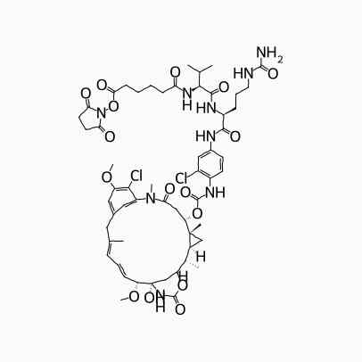 COc1cc2cc(c1Cl)N(C)C(=O)C[C@H](OC(=O)Nc1ccc(NC(=O)[C@H](CCCNC(N)=O)NC(=O)[C@@H](NC(=O)CCCCC(=O)ON3C(=O)CCC3=O)C(C)C)cc1Cl)[C@]1(C)C[C@H]1[C@H](C)[C@@H]1C[C@@](O)(NC(=O)O1)[C@H](OC)/C=C/C=C(\C)C2